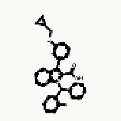 O=C(O)c1c(-c2cccc(OCC3CC3)c2)c2ccccc2n1C(c1ccccc1)c1ccccc1F